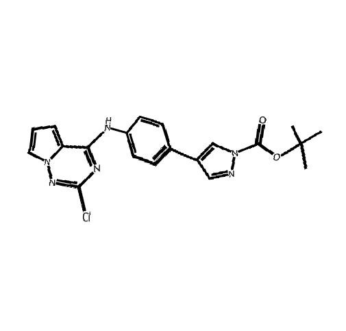 CC(C)(C)OC(=O)n1cc(-c2ccc(Nc3nc(Cl)nn4cccc34)cc2)cn1